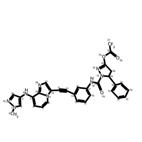 Cn1cc(Nc2cccn3c(C#Cc4cccc(NC(=O)N5N=C(OC(=O)C(F)(F)F)CC5c5ccccc5)c4)cnc23)cn1